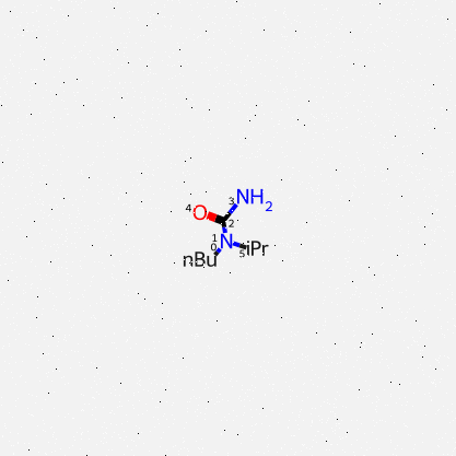 [CH2]CCCN(C(N)=O)C(C)C